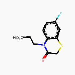 O=C(O)CCN1C(=O)CSc2cc(F)ccc21